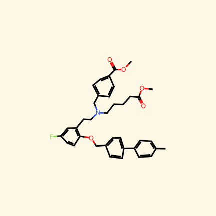 COC(=O)CCCCN(CCc1cc(F)ccc1OCc1ccc(-c2ccc(C)cc2)cc1)Cc1ccc(C(=O)OC)cc1